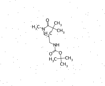 CN(CCCNC(=O)OC(C)(C)C)C(=O)C(C)(C)C